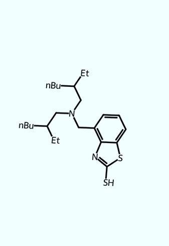 CCCCC(CC)CN(Cc1cccc2sc(S)nc12)CC(CC)CCCC